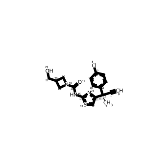 C#C[C@](C)(c1ccc(Cl)cc1)c1csc(NC(=O)N2CC(CO)C2)n1